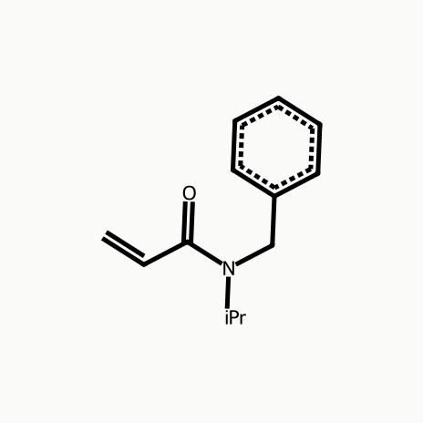 C=CC(=O)N(Cc1ccccc1)C(C)C